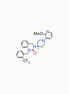 COc1ncccc1N1CCC(C)(N2Cc3ccccc3N(Cc3ccccc3C(F)(F)F)C2=O)CC1